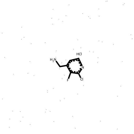 Cl.NCc1ccnc(Cl)c1F